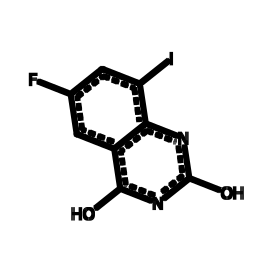 Oc1nc(O)c2cc(F)cc(I)c2n1